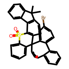 CC1(C)c2ccccc2-c2c1ccc1c2S(=O)(=O)c2ccccc2C12c1ccccc1-c1ccccc1-c1ccc(Br)cc12